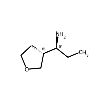 CC[C@H](N)[C@H]1CCOC1